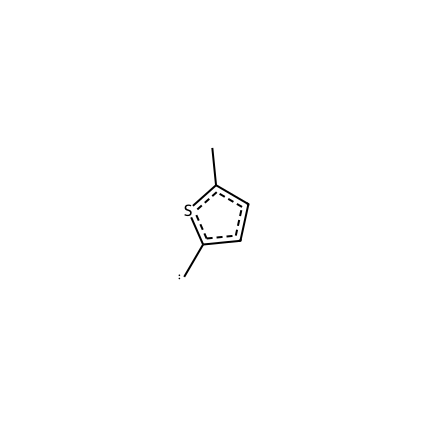 [CH]c1ccc(C)s1